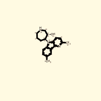 Cc1ccc2c(c1)c1nc(C(F)(F)F)ccc1n2[C@H]1CCCNC[C@@H]1O